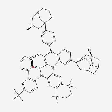 Cc1cc2c3c(c1)N(c1ccc(C(C)(C)C)cc1-c1ccccc1)c1cc4c(cc1B3c1cc(C35CC6CC7C[C@@H](C3)[C@@]76C5)ccc1N2c1ccc(C23CCCC(C[C@H](C)C2)C3)cc1)C(C)(C)CCC4(C)C